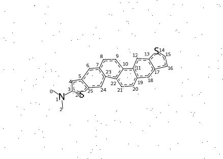 CN(C)c1cc2cc3ccc4c5cc6sccc6cc5ccc4c3cc2s1